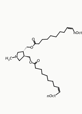 CCCCCCCC/C=C\CCCCCCCC(=O)OC[C@H]1CN(C)C[C@@H]1COC(=O)CCCCCCC/C=C\CCCCCCCC